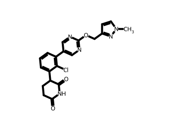 Cn1ccc(COc2ncc(-c3cccc(C4CCC(=O)NC4=O)c3Cl)cn2)n1